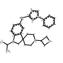 CC(C)N1CC2(CCN(C3COC3)CC2)c2cc(Nc3ncn(-c4ccccc4)n3)ccc21